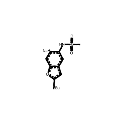 CCCCc1cc2cc(NS(C)(=O)=O)ccc2o1.[NaH]